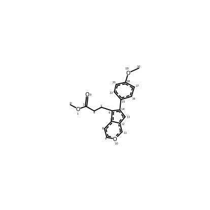 COC(=O)CCc1c2ccocc-2cc1-c1ccc(OC)cc1